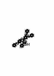 O=C(O)C(=Cc1sc2cc(OCc3ccccc3)c(OCc3ccccc3)cc2c1Oc1ccc(OCc2ccccc2)cc1)c1ccncc1